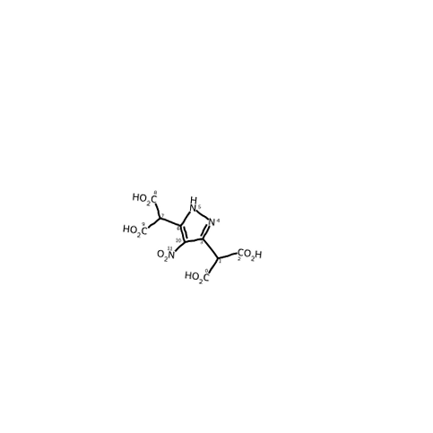 O=C(O)C(C(=O)O)c1n[nH]c(C(C(=O)O)C(=O)O)c1[N+](=O)[O-]